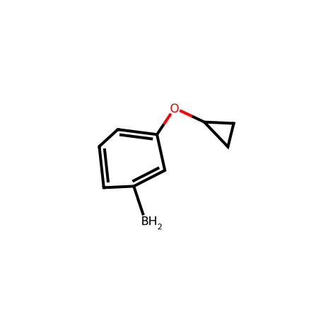 Bc1cccc(OC2CC2)c1